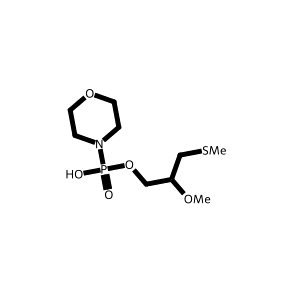 COC(COP(=O)(O)N1CCOCC1)CSC